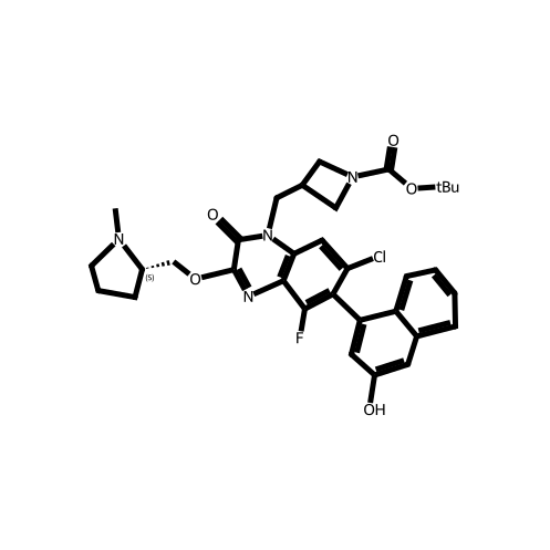 CN1CCC[C@H]1COc1nc2c(F)c(-c3cc(O)cc4ccccc34)c(Cl)cc2n(CC2CN(C(=O)OC(C)(C)C)C2)c1=O